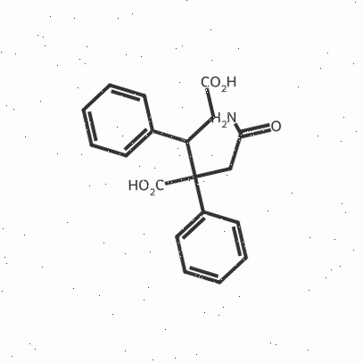 NC(=O)CC(C(=O)O)(c1ccccc1)C(CC(=O)O)c1ccccc1